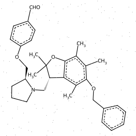 Cc1c(C)c2c(c(C)c1OCc1ccccc1)[C@H](CN1CCC[C@H]1COc1ccc(C=O)cc1)C(C)(C)O2